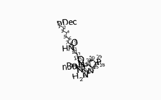 CCCCCCCCCCCCCCCCCC(=O)NCCCCOn1c(CCCC)nc2c(N)nc3cc(P(C)C)ccc3c21